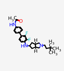 CC(=O)Nc1ccc(-c2ccc(NC3C[C@@H]4CN(CCC(C)(C)C)C[C@@H]4C3)c(F)c2F)cc1